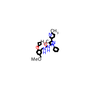 COCc1ccc(OC2CCC2)c(CNC(=O)Nc2c(C)c(-c3ccc(C)nc3)nn2-c2ccccc2)c1